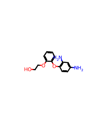 Nc1ccc(Oc2ccccc2OCCO)c(N)c1